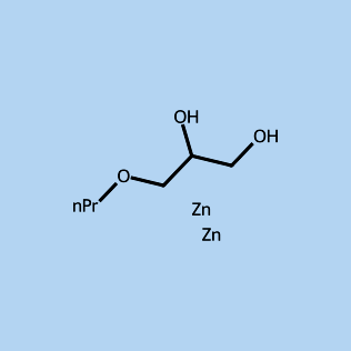 C[CH]COCC(O)CO.[Zn].[Zn]